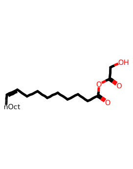 CCCCCCCC/C=C\CCCCCCCC(=O)OC(=O)CO